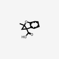 CC12CC1(C(=O)O)c1ccccc1O2